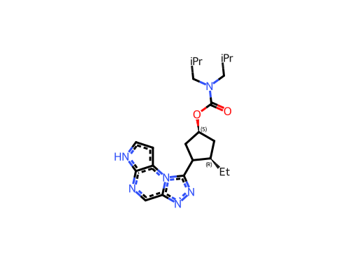 CC[C@@H]1C[C@H](OC(=O)N(CC(C)C)CC(C)C)CC1c1nnc2cnc3[nH]ccc3n12